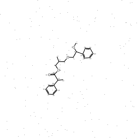 COC(COCC(C)COC(=O)C(C)c1ccccc1)c1ccccc1